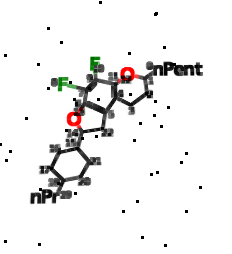 CCCCCC1CCc2c3c(c(F)c(F)c2O1)OC(C1CCC(CCC)CC1)C3